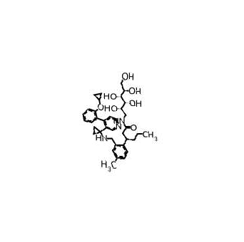 CCCC(CC(=O)NC[C@H](O)[C@@H](O)[C@H](O)[C@H](O)CO)c1ccc(C)cc1CNC1(c2cnccc2-c2ccccc2OC2CC2)CC1